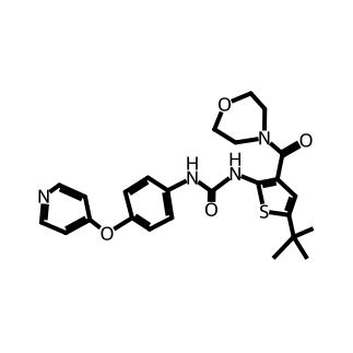 CC(C)(C)c1cc(C(=O)N2CCOCC2)c(NC(=O)Nc2ccc(Oc3ccncc3)cc2)s1